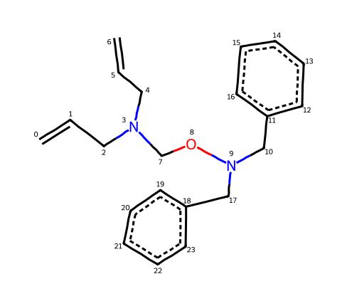 C=CCN(CC=C)CON(Cc1ccccc1)Cc1ccccc1